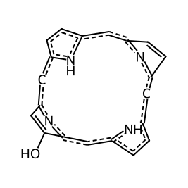 OC1=Cc2cc3ccc(cc4nc(cc5ccc(cc1n2)[nH]5)C=C4)[nH]3